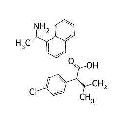 CC(C)[C@H](C(=O)O)c1ccc(Cl)cc1.C[C@H](N)c1cccc2ccccc12